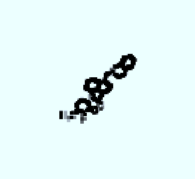 C=C1CCC(N2C(=O)c3ccc(CN4CCc5ccccc5C4)c4cccc2c34)C(=O)N1